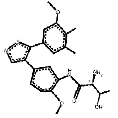 COc1ccc(-c2cnsc2-c2cc(C)c(C)c(OC)c2)cc1NC(=O)[C@@H](N)C(C)O